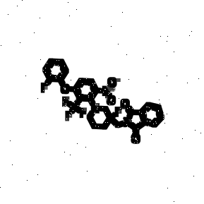 O=C1c2ccccc2C(=O)N1C[C@]1(F)CCCN(c2c([N+](=O)[O-])ccc(Oc3ccccc3F)c2C(F)(F)F)C1